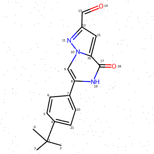 CC(C)(C)c1ccc(-c2cn3nc(C=O)cc3c(=O)[nH]2)cc1